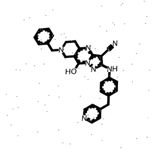 N#Cc1c(Nc2ccc(Cc3ccncc3)cc2)nn2c(O)c3c(nc12)CCN(Cc1ccccc1)C3